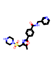 Cc1oc(-c2ccc(C(=O)NCc3cccnc3)cc2)nc1CS(=O)(=O)N1CCNCC1